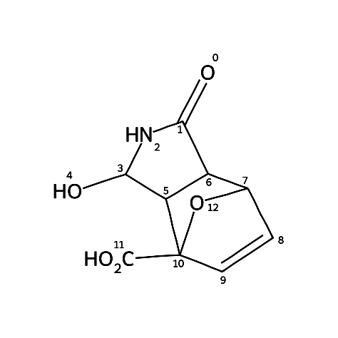 O=C1NC(O)C2C1C1C=CC2(C(=O)O)O1